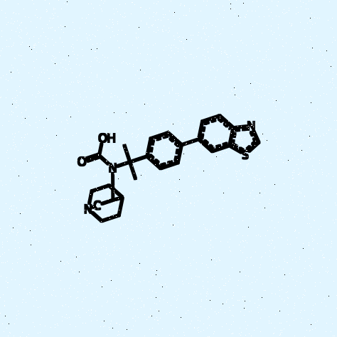 CC(C)(c1ccc(-c2ccc3ncsc3c2)cc1)N(C(=O)O)C1CN2CCC1CC2